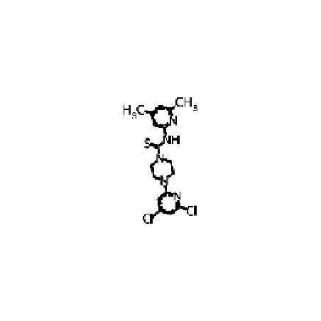 Cc1cc(C)nc(NC(=S)N2CCN(c3cc(Cl)cc(Cl)n3)CC2)c1